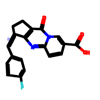 O=C(O)c1ccc2nc3c(c(=O)n2c1)CC/C3=C/c1ccc(F)cc1